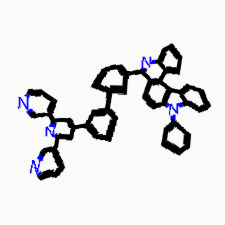 c1ccc(-n2c3ccccc3c3c4c(ccc32)c(-c2cccc(-c3cccc(-c5cc(-c6cccnc6)nc(-c6cccnc6)c5)c3)c2)nc2ccccc24)cc1